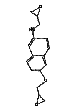 c1cc2cc(OCC3CO3)ccc2cc1NCC1CO1